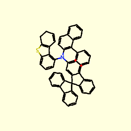 C1=Cc2c(sc3cccc(N(c4ccc5c(c4)C4(c6ccccc6-c6ccccc64)c4ccccc4-5)c4ccc5ccccc5c4-c4ccccc4)c23)CC1